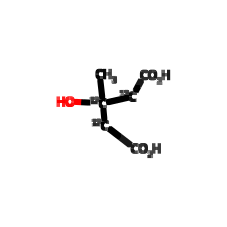 C[12C](O)([12CH2][14C](=O)O)[12CH2][14C](=O)O